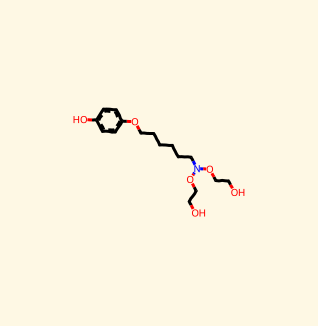 OCCON(CCCCCCOc1ccc(O)cc1)OCCO